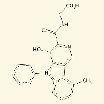 Cc1cccc2c1c1cnc(C(=O)NCC(=O)O)c(O)c1n2-c1ccccc1